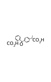 CC(C(=O)O)c1ccc(C(=O)c2ccccc2C(=O)O)cc1